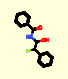 O=C(NC(O)C(F)c1ccccc1)c1ccccc1